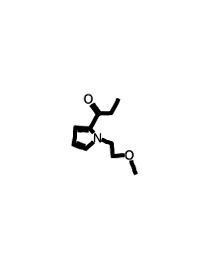 CCC(=O)c1cccn1CCOC